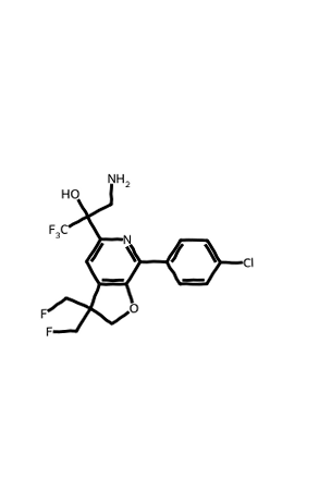 NCC(O)(c1cc2c(c(-c3ccc(Cl)cc3)n1)OCC2(CF)CF)C(F)(F)F